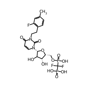 Cc1ccc(CCn2c(=O)ccn([C@@H]3O[C@H](COP(=O)(O)C(F)(F)P(=O)(O)O)[C@H](O)C3O)c2=O)c(F)c1